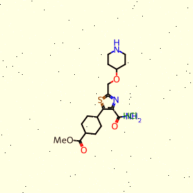 COC(=O)C1CCC(c2sc(COC3CCNCC3)nc2C(N)=O)CC1.Cl